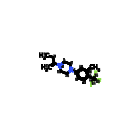 C=C(CC)N1CCN(c2ccc(C(F)(F)F)c(C)c2)CC1